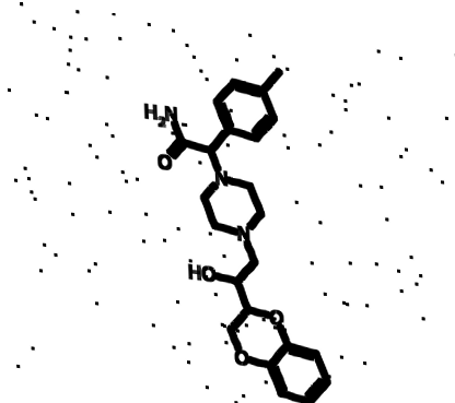 Cc1ccc(C(C(N)=O)N2CCN(CC(O)C3COc4ccccc4O3)CC2)cc1